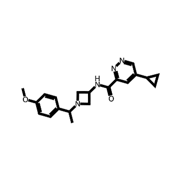 COc1ccc(C(C)N2CC(NC(=O)c3cc(C4CC4)cnn3)C2)cc1